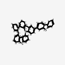 c1ccc2c(c1)sc1cc(-c3ccc4c(c3)c3cccc5c6ccccc6c6cccc7sc8cccc(c8c76)n4c53)ccc12